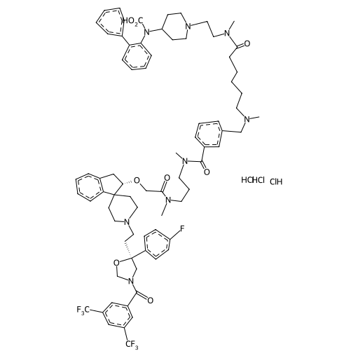 CN(CCCCCC(=O)N(C)CCN1CCC(N(C(=O)O)c2ccccc2-c2ccccc2)CC1)Cc1cccc(C(=O)N(C)CCCN(C)C(=O)CO[C@H]2Cc3ccccc3C23CCN(CC[C@]2(c4ccc(F)cc4)CN(C(=O)c4cc(C(F)(F)F)cc(C(F)(F)F)c4)CO2)CC3)c1.Cl.Cl.Cl